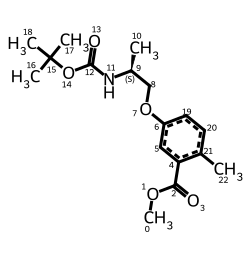 COC(=O)c1cc(OC[C@H](C)NC(=O)OC(C)(C)C)ccc1C